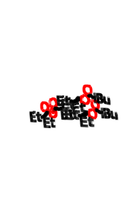 CCC(=COC(=O)C(C)CC)CC.CCC(=COC(=O)C(C)CC)CC.CCC(CC)C(=O)OC(=O)C(CC)CC